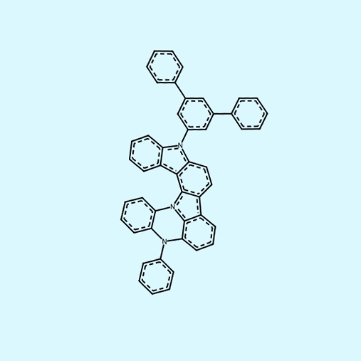 c1ccc(-c2cc(-c3ccccc3)cc(-n3c4ccccc4c4c3ccc3c5cccc6c5n(c34)-c3ccccc3N6c3ccccc3)c2)cc1